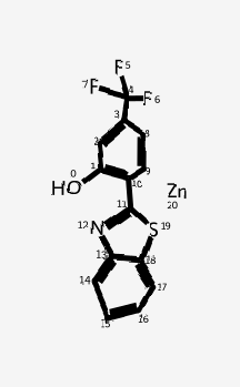 Oc1cc(C(F)(F)F)ccc1-c1nc2ccccc2s1.[Zn]